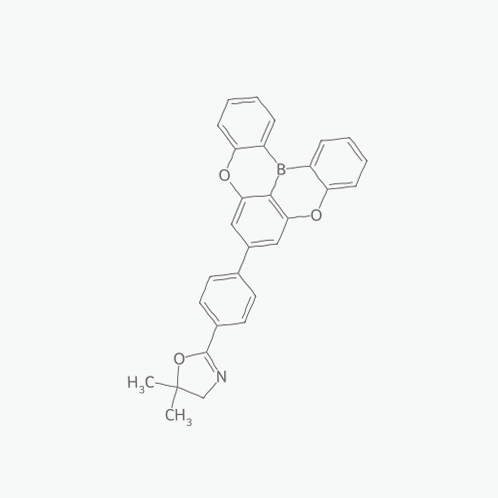 CC1(C)CN=C(c2ccc(-c3cc4c5c(c3)Oc3ccccc3B5c3ccccc3O4)cc2)O1